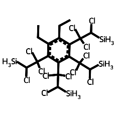 CCc1c(CC)c(C(Cl)(Cl)C([SiH3])Cl)c(C(Cl)(Cl)C([SiH3])Cl)c(C(Cl)(Cl)C([SiH3])Cl)c1C(Cl)(Cl)C([SiH3])Cl